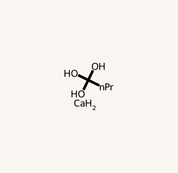 CCCC(O)(O)O.[CaH2]